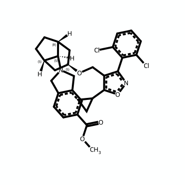 COC(=O)c1ccc2c(c1)CN([C@@H]1[C@@H]3CC[C@H]1C[C@H](OCc1c(-c4c(Cl)cccc4Cl)noc1C1CC1)C3)C2